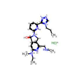 CCCn1cnnc1-c1cccc(N2Cc3c(cc(N(C)CC)nc3CNC)C2=O)n1.Cl